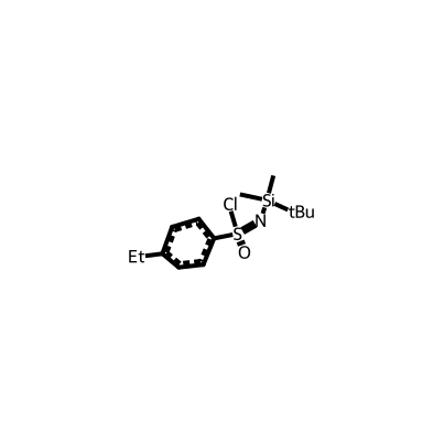 CCc1ccc(S(=O)(Cl)=N[Si](C)(C)C(C)(C)C)cc1